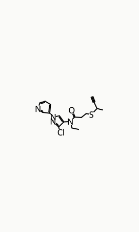 C#CC(C)SCCC(=O)N(CC)c1cn(-c2cccnc2)nc1Cl